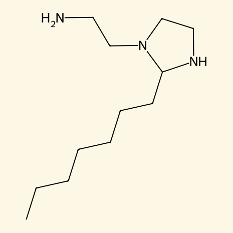 CCCCCCCC1NCCN1CCN